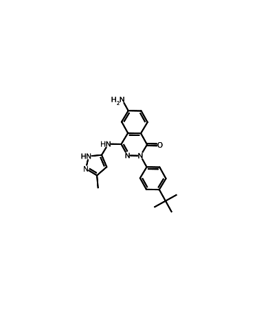 Cc1cc(Nc2nn(-c3ccc(C(C)(C)C)cc3)c(=O)c3ccc(N)cc23)[nH]n1